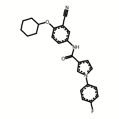 N#Cc1cc(NC(=O)c2ccn(-c3ccc(F)cc3)c2)ccc1OC1CCCCC1